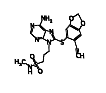 C#Cc1cc2c(cc1Sc1nc3c(N)ncnc3n1CCCS(=O)(=O)NC)OCO2